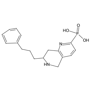 O=P(O)(O)c1ccc2c(n1)CC(CCCc1ccccc1)NC2